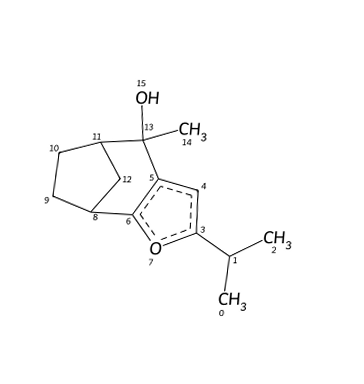 CC(C)c1cc2c(o1)C1CCC(C1)C2(C)O